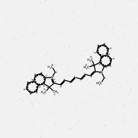 CCN1/C(=C/C=C/C=C/C=C/C2=[N+](CC)c3ccc4ccccc4c3C2(C)C)C(C)(C)c2c1ccc1ccccc21